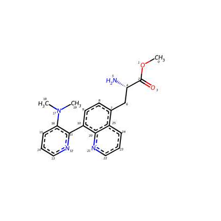 COC(=O)[C@@H](N)Cc1ccc(-c2ncccc2N(C)C)c2ncccc12